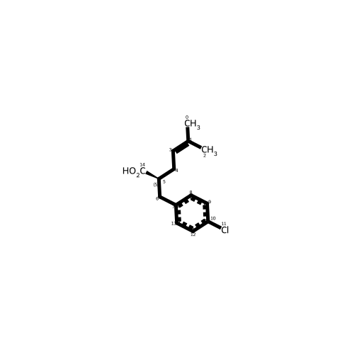 CC(C)=CC[C@@H](Cc1ccc(Cl)cc1)C(=O)O